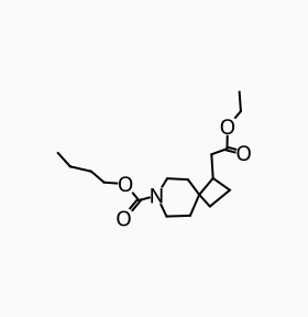 CCCCOC(=O)N1CCC2(CCC2CC(=O)OCC)CC1